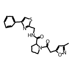 Cc1cc(CC(=O)N2CCCC2C(=O)NCc2nc(-c3ccccc3)cs2)on1